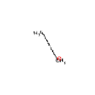 CCCCCCCCC=CCCCCCCCCCCCCCCCC(C)=O